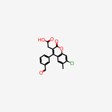 Cc1cc2c(-c3cccc(C=O)c3)c(CC(=O)O)c(=O)oc2cc1Cl